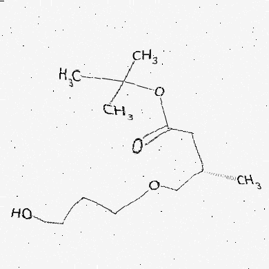 C[C@H](COCCCO)CC(=O)OC(C)(C)C